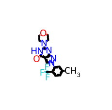 Cc1ccc(C(F)(F)F)c(-n2cc3c(=O)[nH]c(N4CCOCC4)nc3n2)c1